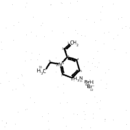 Br.C=Cc1cccc[n+]1CC.N.[Br-]